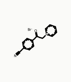 N#Cc1ccc(C(=O)C[n+]2ccccc2)cc1.[Br-]